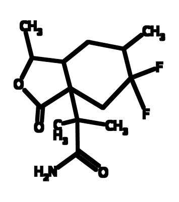 CC1OC(=O)C2(C(C)(C)C(N)=O)CC(F)(F)C(C)CC12